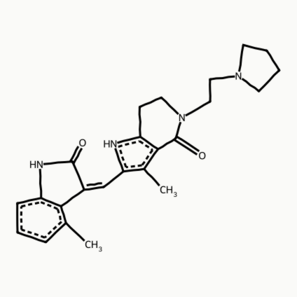 Cc1cccc2c1C(=Cc1[nH]c3c(c1C)C(=O)N(CCN1CCCC1)CC3)C(=O)N2